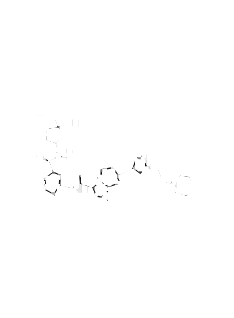 CN(C(=O)c1ccc(F)c(NC(=O)c2cnc3cc(-c4cnn(CCN5CCOCC5)c4)ccn23)c1)C1CCC(C)(C)O1